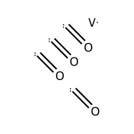 [C]=O.[C]=O.[C]=O.[C]=O.[V]